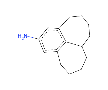 Nc1cc2c3c(c1)CCCCC3CCCC2